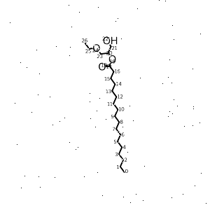 CCCCCCCCCCCCCCCCCC(=O)OC(CO)COCC